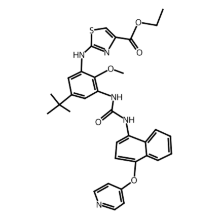 CCOC(=O)c1csc(Nc2cc(C(C)(C)C)cc(NC(=O)Nc3ccc(Oc4ccncc4)c4ccccc34)c2OC)n1